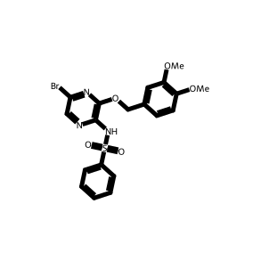 COc1ccc(COc2nc(Br)cnc2NS(=O)(=O)c2ccccc2)cc1OC